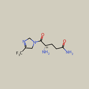 NC(=O)CC[C@H](N)C(=O)N1CN=C(C(F)(F)F)C1